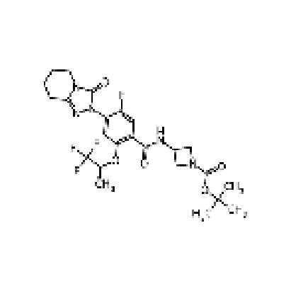 C[C@H](Oc1cc(-n2nc3n(c2=O)CCCC3)c(F)cc1C(=O)NC1CN(C(=O)OC(C)(C)C)C1)C(F)(F)F